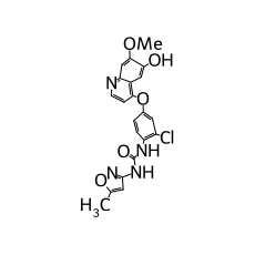 COc1cc2nccc(Oc3ccc(NC(=O)Nc4cc(C)on4)c(Cl)c3)c2cc1O